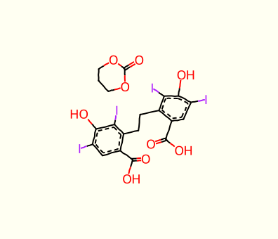 O=C(O)c1cc(I)c(O)c(I)c1CCc1c(C(=O)O)cc(I)c(O)c1I.O=C1OCCCO1